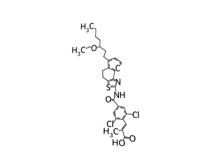 CCCCC(CCc1cccc2c1CCc1sc(NC(=O)c3cc(Cl)c(C=C(C)C(=O)O)c(Cl)c3)nc1-2)OCC